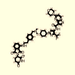 CN(Cc1ccc(CCNc2cccc3c2C(=O)N(C2CCC(=O)NC2=O)C3=O)cc1)C[C@H]1CC[C@H](n2cc(NC(=O)c3cnn4ccc(N5CCOCC5)nc34)c(C(F)F)n2)CC1